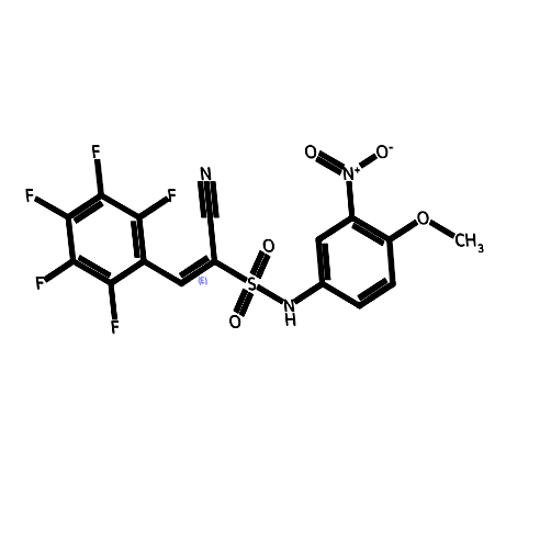 COc1ccc(NS(=O)(=O)/C(C#N)=C/c2c(F)c(F)c(F)c(F)c2F)cc1[N+](=O)[O-]